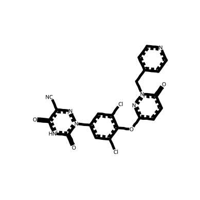 N#Cc1nn(-c2cc(Cl)c(Oc3ccc(=O)n(Cc4ccncc4)n3)c(Cl)c2)c(=O)[nH]c1=O